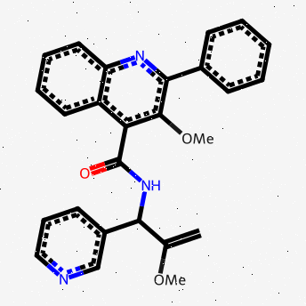 C=C(OC)C(NC(=O)c1c(OC)c(-c2ccccc2)nc2ccccc12)c1cccnc1